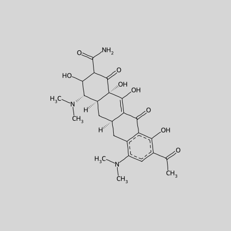 CC(=O)c1cc(N(C)C)c2c(c1O)C(=O)C1=C(O)[C@]3(O)C(=O)C(C(N)=O)C(O)[C@@H](N(C)C)[C@@H]3C[C@@H]1C2